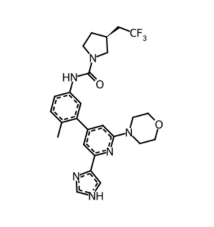 Cc1ccc(NC(=O)N2CC[C@@H](CC(F)(F)F)C2)cc1-c1cc(-c2c[nH]cn2)nc(N2CCOCC2)c1